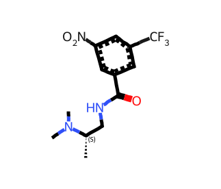 C[C@@H](CNC(=O)c1cc([N+](=O)[O-])cc(C(F)(F)F)c1)N(C)C